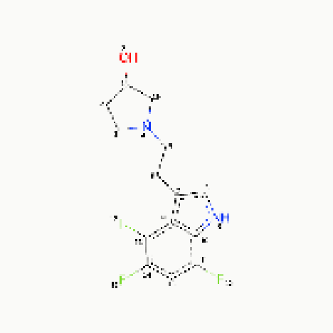 OC1CCN(CCc2c[nH]c3c(F)cc(F)c(F)c23)C1